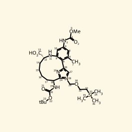 COC(=O)Nc1cc(C)c2c(c1)N[C@@H](C(=O)O)CCCC[C@H](NC(=O)OC(C)(C)C)c1nc-2cn1COCC[Si](C)(C)C